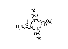 CC(C)(C)OC(=O)CN1CCN(CC(=O)OC(C)(C)C)CCN(CC(O)CN)CCN(CC(=O)OC(C)(C)C)CC1